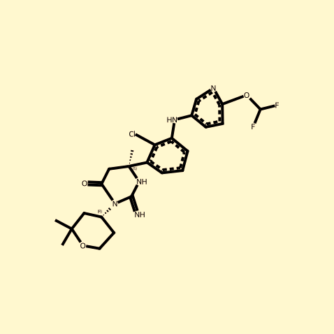 CC1(C)C[C@H](N2C(=N)N[C@](C)(c3cccc(Nc4ccc(OC(F)F)nc4)c3Cl)CC2=O)CCO1